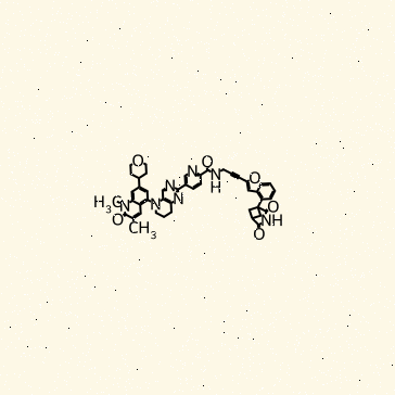 Cc1cc2c(N3CCCc4nc(-c5ccc(C(=O)NCC#Cc6cc7c(C89CC(C8)C(=O)NC9=O)cccc7o6)nc5)ncc43)cc(C3CCOCC3)cc2n(C)c1=O